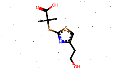 CC(C)(Sc1nc(CCO)cs1)C(=O)O